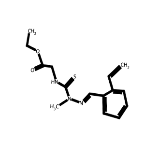 C=Cc1ccccc1C=NN(C)C(=S)NCC(=O)OCC